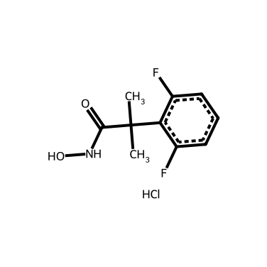 CC(C)(C(=O)NO)c1c(F)cccc1F.Cl